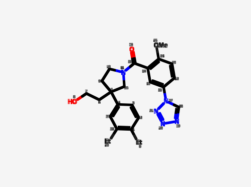 CCc1ccc(C2(CCO)CCN(C(=O)c3cc(-n4cnnn4)ccc3OC)C2)cc1CC